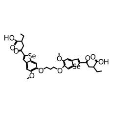 CCC(CC(=O)c1cc2cc(OC)c(OCCCOc3cc4[se]c(C(=O)CC(CC)C(=O)O)cc4cc3OC)cc2[se]1)C(=O)O